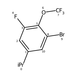 CC(C)c1cc(F)c(OC(F)(F)F)c(Br)c1